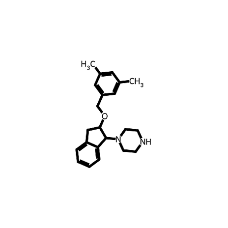 Cc1cc(C)cc(COC2Cc3ccccc3C2N2CCNCC2)c1